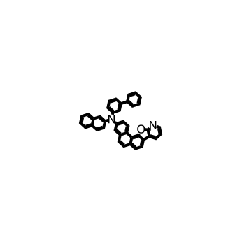 c1ccc(-c2cccc(N(c3ccc4ccccc4c3)c3ccc4c(ccc5ccc6c7cccnc7oc6c54)c3)c2)cc1